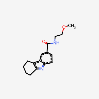 COCCNC(=O)c1ccc2[nH]c3c(c2c1)CCCC3